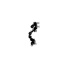 Cc1cc(S(=O)(=O)NCCO[C@H]2CC[C@H](CN3CCC(c4ccc5c(c4)n(C)c(=O)n5C4CCC(=O)NC4=O)CC3)CC2)ccc1Nc1nc(OC2CCCCC2)c2nc[nH]c2n1